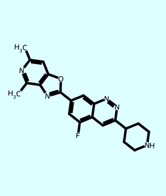 Cc1cc2oc(-c3cc(F)c4cc(C5CCNCC5)nnc4c3)nc2c(C)n1